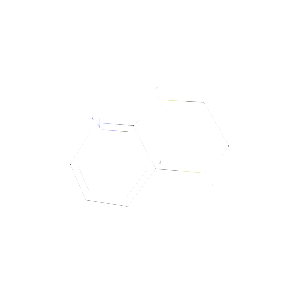 c1cnc2c(c1)SCCS2